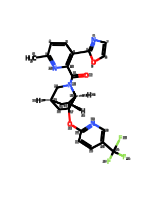 Cc1ccc(-c2ncco2)c(C(=O)N2C[C@@H]3CC[C@H]2[C@H](Oc2ccc(C(F)(F)F)cn2)C3)n1